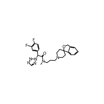 CN(CCCN1CCC2(CC1)OCc1ccccc12)C(=O)C(c1ccc(F)c(F)c1)n1ncnn1